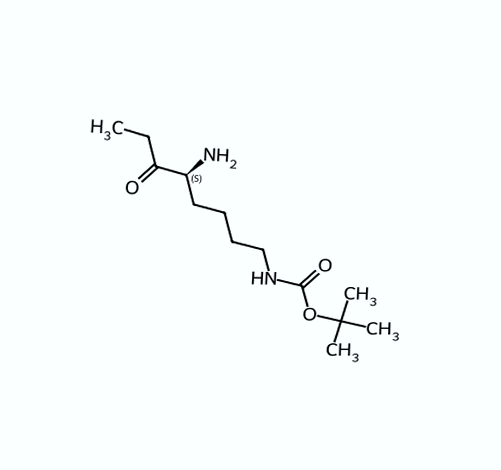 CCC(=O)[C@@H](N)CCCCNC(=O)OC(C)(C)C